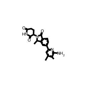 Cc1cc(-c2ccc3c(c2)C(C)N(C2CCC(=O)NC2=O)C3=O)nc(N)c1C